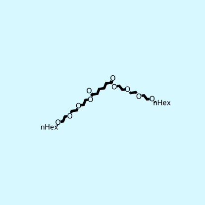 CCCCCCOCCOCCOCCOC(=O)CCCCC(=O)OCCOCCOCCOCCCCCC